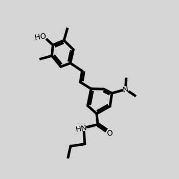 CCCNC(=O)c1cc(/C=C/c2cc(C)c(O)c(C)c2)cc(N(C)C)c1